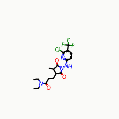 CCN(CC)C(=O)CCC1C(=O)N(Nc2ccc(C(F)(F)F)c(Cl)n2)C(=O)C1C